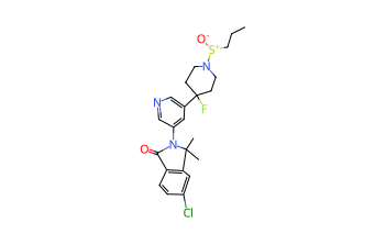 CCC[S+]([O-])N1CCC(F)(c2cncc(N3C(=O)c4ccc(Cl)cc4C3(C)C)c2)CC1